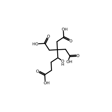 O=C(O)CCC(O)C(CC(=O)O)(CC(=O)O)CC(=O)O